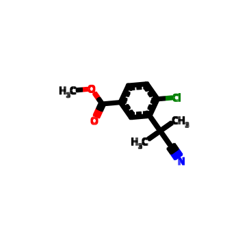 COC(=O)c1ccc(Cl)c(C(C)(C)C#N)c1